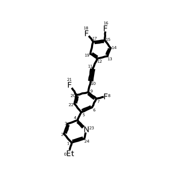 CCc1ccc(-c2cc(F)c(C#Cc3ccc(F)c(F)c3)c(F)c2)nc1